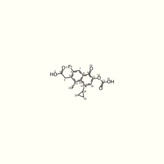 O=C(O)Cc1c(F)cc2c(=O)c(OC(=O)O)cn(C3CC3)c2c1F